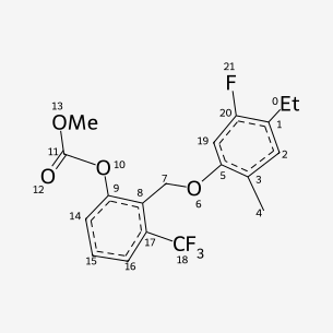 CCc1cc(C)c(OCc2c(OC(=O)OC)cccc2C(F)(F)F)cc1F